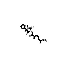 C=C(N)C/C=C\C(=C)C(=O)CN1C(=O)N(C)C(C)(C2CCCC2)C1=O